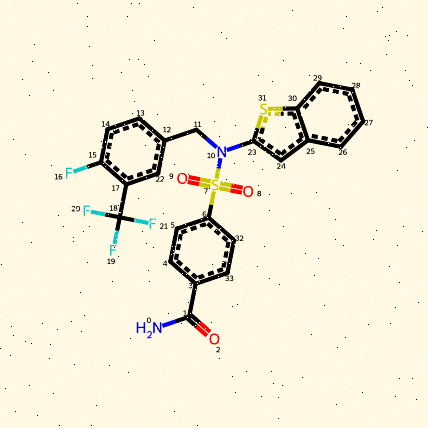 NC(=O)c1ccc(S(=O)(=O)N(Cc2ccc(F)c(C(F)(F)F)c2)c2cc3ccccc3s2)cc1